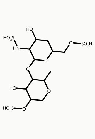 CC1OCC(OS(=O)(=O)O)C(O)C1OC1OC(COS(=O)(=O)O)CC(O)C1NS(=O)(=O)O